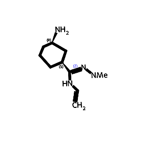 C=CN/C(=N\NC)[C@H]1CCC[C@@H](N)C1